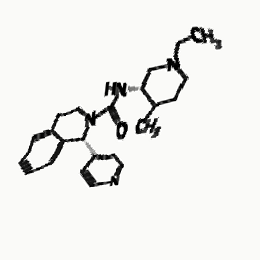 CCN1CCC(C)[C@H](NC(=O)N2CCc3ccccc3[C@H]2c2ccncc2)C1